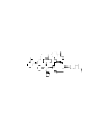 Cc1ccc(S(=O)(=O)OC2(C)CO2)c(C)c1